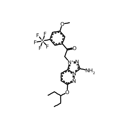 CCC(CC)Oc1ccc2n(n1)c(N)n[n+]2CC(=O)c1cc(OC)cc(S(F)(F)(F)(F)F)c1